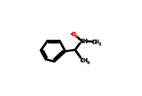 CC(c1ccccc1)[SiH](C)[O]